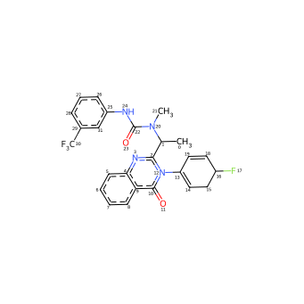 CC(c1nc2ccccc2c(=O)n1C1=CCC(F)C=C1)N(C)C(=O)Nc1cccc(C(F)(F)F)c1